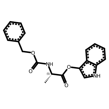 C[C@H](NC(=O)OCc1ccccc1)C(=O)Oc1c[nH]c2ccccc12